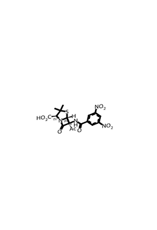 CC(=O)[C@]1(NC(=O)c2cc([N+](=O)[O-])cc([N+](=O)[O-])c2)C(=O)N2[C@@H](C(=O)O)C(C)(C)S[C@@H]21